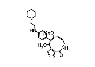 C=C1/C(c2ccc(NCCN3CCCCC3)cc2)=C(OC)\C=C/CNC(=O)c2sccc21